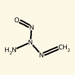 C=NN(N)N=O